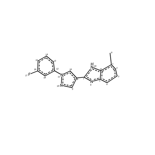 Cc1cccc2nc(-c3cnn(-c4cccc(F)c4)c3)[nH]c12